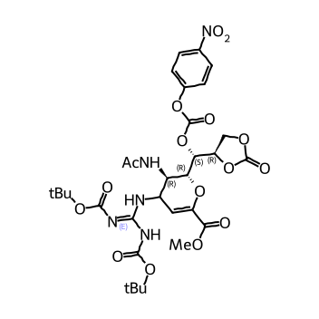 COC(=O)C1=CC(N/C(=N\C(=O)OC(C)(C)C)NC(=O)OC(C)(C)C)[C@@H](NC(C)=O)[C@H]([C@H](OC(=O)Oc2ccc([N+](=O)[O-])cc2)[C@H]2COC(=O)O2)O1